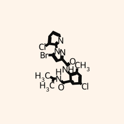 Cc1cc(Cl)cc(C(=O)NC(C)C)c1NC(=O)c1cc(Br)n(-c2ncccc2Cl)n1